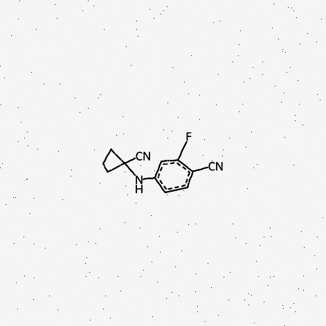 N#Cc1ccc(NC2(C#N)CCC2)cc1F